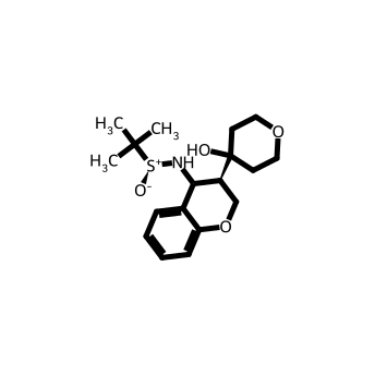 CC(C)(C)[S@+]([O-])NC1c2ccccc2OC[C@@H]1C1(O)CCOCC1